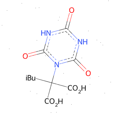 CCC(C)C(C(=O)O)(C(=O)O)n1c(=O)[nH]c(=O)[nH]c1=O